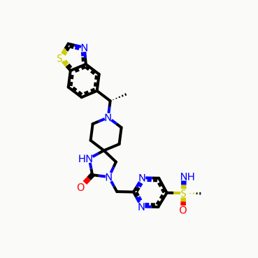 C[C@@H](c1ccc2scnc2c1)N1CCC2(CC1)CN(Cc1ncc([S@@](C)(=N)=O)cn1)C(=O)N2